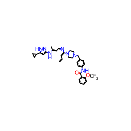 C=C/C=C(/N=C\C=C(/C)Nc1cc(C2CC2)[nH]n1)N1CCN(Cc2ccc(NC(=O)c3ccccc3OC(F)(F)F)cc2)CC1